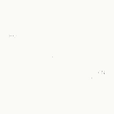 Cc1cc(C(C)(C)c2cc(C)c(OC#N)c(C)c2)cc(C)c1O